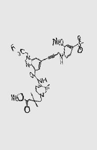 COC(=O)C(C)(C)CN1CC[C@H](NC(=O)c2cc(C#CCNc3ccc(S(C)(=O)=O)cc3OC)cc3c2ncn3CC(F)(F)F)[C@@H](C)C1